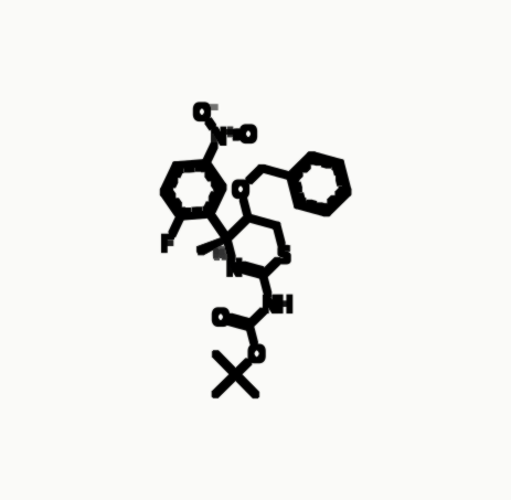 CC(C)(C)OC(=O)NC1=N[C@](C)(c2cc([N+](=O)[O-])ccc2F)C(OCc2ccccc2)CS1